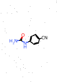 N#Cc1ccc(NC(N)=O)cc1